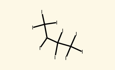 I[C](C(I)(I)I)C(I)(I)C(I)(I)I